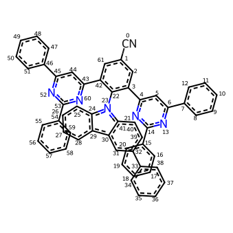 N#Cc1cc(-c2cc(-c3ccccc3)nc(-c3ccccc3)n2)c(-n2c3ccccc3c3cc(-c4ccccc4)ccc32)c(-c2cc(-c3ccccc3)nc(-c3ccccc3)n2)c1